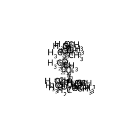 C=C1[C@H](O[Si](C)(C)C(C)(C)C)CC(=C/C=C2\CCCC3(C)C2CCC3[C@@H](C)OCCC(CC)(CC)O[Si](C)(C)C(C)(C)C)C[C@H]1O[Si](C)(C)C(C)(C)C